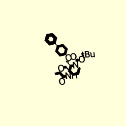 CC1OC[C@@]2(CCCN(C(=O)OC(C)(C)C)[C@H]2CO[C@H]2CC[C@@H](c3ccccc3)CC2)NC1=O